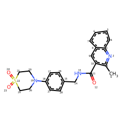 Cc1nc2ccccc2cc1C(=O)NCc1ccc(N2CCS(=O)(=O)CC2)cc1